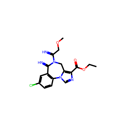 CCOC(=O)c1ncn2c1CN(C(=N)COC)C(=N)c1cc(Cl)ccc1-2